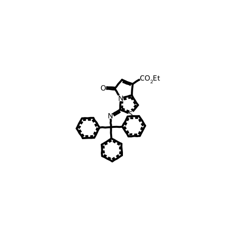 CCOC(=O)C1=CC(=O)n2c1csc2=NC(c1ccccc1)(c1ccccc1)c1ccccc1